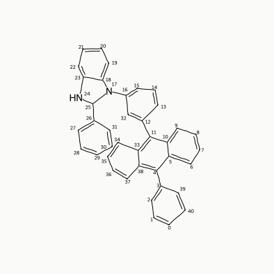 c1ccc(-c2c3ccccc3c(-c3cccc(N4c5ccccc5NC4c4ccccc4)c3)c3ccccc23)cc1